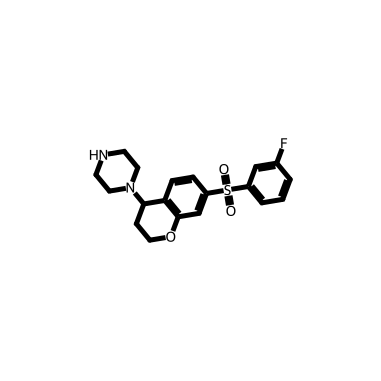 O=S(=O)(c1cccc(F)c1)c1ccc2c(c1)OCCC2N1CCNCC1